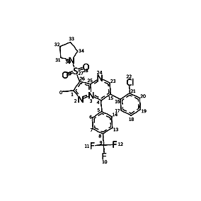 Cc1nn2c(-c3ccc(C(F)(F)F)cc3)c(-c3ccccc3Cl)cnc2c1S(=O)(=O)N1CCCC1